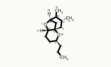 CCC[C@H]1CC[C@@H]2O[C@@H]3C[C@]2(C[C@@H](C)C3C)O1